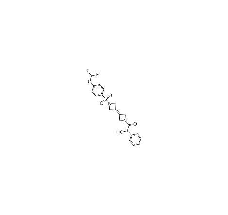 O=C(C(O)c1ccccc1)N1CC(=C2CN(S(=O)(=O)c3ccc(OC(F)F)cc3)C2)C1